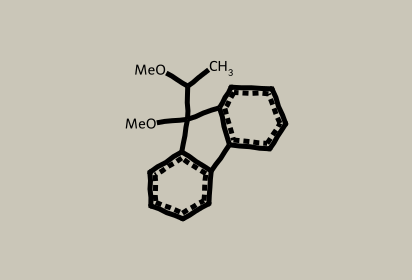 COC(C)C1(OC)c2ccccc2-c2ccccc21